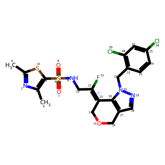 Cc1nc(C)c(S(=O)(=O)NC/C(F)=C2\COCc3cnn(Cc4ccc(Cl)cc4Cl)c32)s1